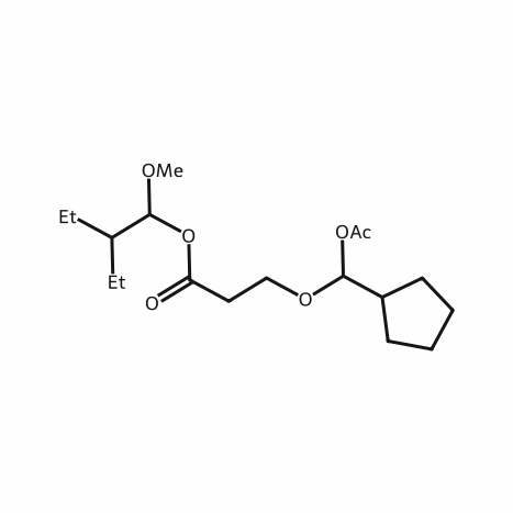 CCC(CC)C(OC)OC(=O)CCOC(OC(C)=O)C1CCCC1